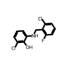 Oc1c(Cl)cccc1NCc1c(F)cccc1Cl